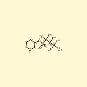 O=S(=O)(OC1COCCS1)C(F)(F)C(F)(F)C(F)(F)C(F)(F)F